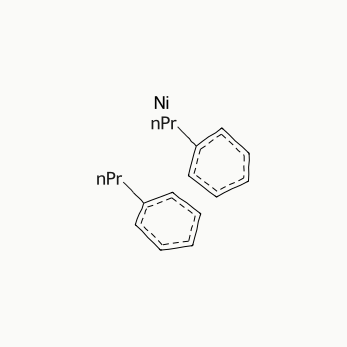 CCCc1ccccc1.CCCc1ccccc1.[Ni]